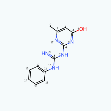 Cc1cc(O)nc(NC(=N)Nc2ccccc2)n1